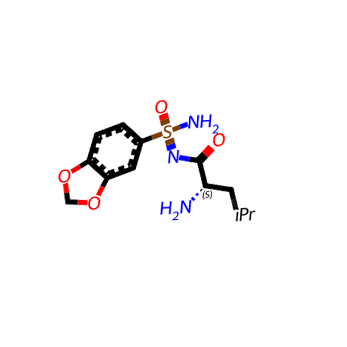 CC(C)C[C@H](N)C(=O)N=S(N)(=O)c1ccc2c(c1)OCO2